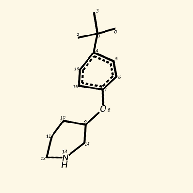 CC(C)(C)c1ccc(OC2[CH]CCNC2)cc1